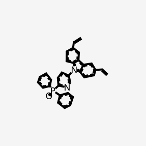 C=Cc1ccc2c(c1)c1cc(C=C)ccc1n2-c1ccc(P(=O)(c2ccccc2)c2ccccc2)nc1